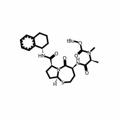 C[C@@H](C(=O)N[C@H]1CCS[C@H]2CC[C@@H](C(=O)N[C@H]3CCCc4ccccc43)N2C1=O)N(C)C(=O)OC(C)(C)C